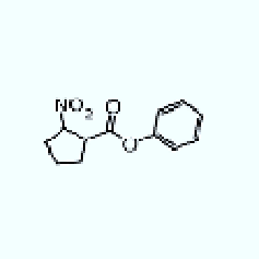 O=C(Oc1ccccc1)C1CCCC1[N+](=O)[O-]